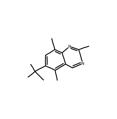 Cc1ncc2c(C)c(C(C)(C)C)cc(C)c2n1